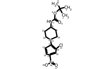 CC(C)(C)OC(=O)NC1CCN(c2ccc([N+](=O)[O-])cc2Cl)CC1